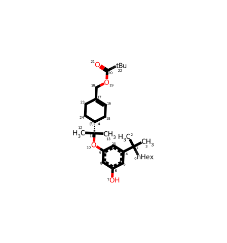 CCCCCCC(C)(C)c1cc(O)cc(OC(C)(C)[C@H]2CC=C(COC(=O)C(C)(C)C)CC2)c1